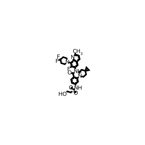 Cc1ccc2cc(NC(=O)c3ccc(NS(=O)(=O)CCO)cc3N3CCC4(CC3)CC4)c(F)c(N3CCC(F)(F)CC3)c2n1